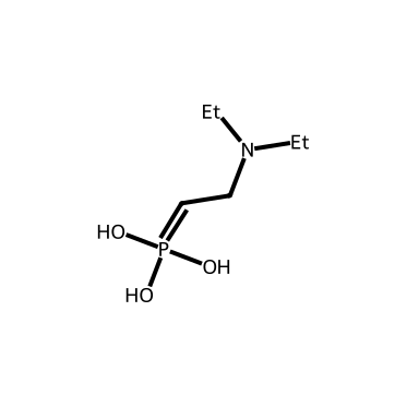 CCN(CC)CC=P(O)(O)O